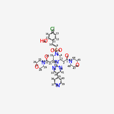 O=C(CC1CN(S(=O)(=O)C=Cc2ccc(Cl)cc2O)CC(CC(=O)N2CCOCC2)N1c1ncc(-c2ccncc2)cn1)N1CCOCC1